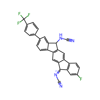 N#C/N=C1\c2cc(F)ccc2-c2cc3c(cc21)-c1ccc(-c2ccc(C(F)(F)F)cc2)cc1C3NC#N